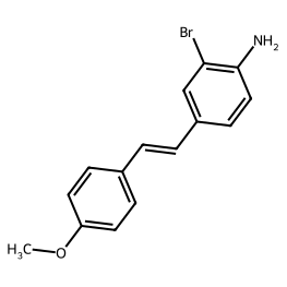 COc1ccc(/C=C/c2ccc(N)c(Br)c2)cc1